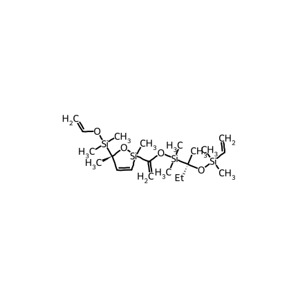 C=CO[Si](C)(C)[C@@]1(C)C=C[Si](C)(C(=C)O[Si](C)(C)[C@](C)(CC)O[Si](C)(C)C=C)O1